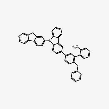 Cc1ccccc1-c1cc(-c2ccc3c(c2)c2ccccc2n3-c2ccc3c(c2)Cc2ccccc2-3)ccc1Cc1ccccc1